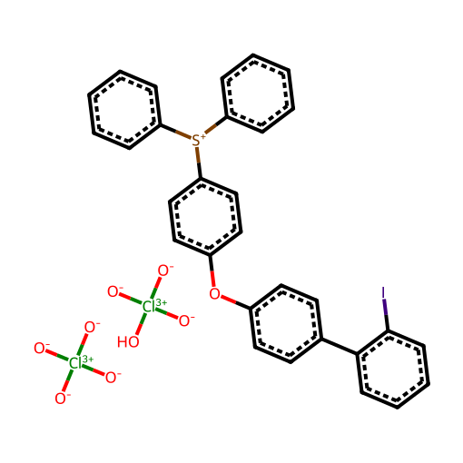 Ic1ccccc1-c1ccc(Oc2ccc([S+](c3ccccc3)c3ccccc3)cc2)cc1.[O-][Cl+3]([O-])([O-])O.[O-][Cl+3]([O-])([O-])[O-]